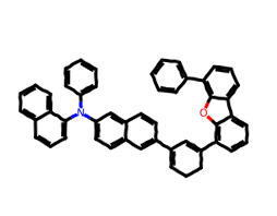 C1=C(c2ccc3cc(N(c4ccccc4)c4cccc5ccccc45)ccc3c2)C=C(c2cccc3c2oc2c(-c4ccccc4)cccc23)CC1